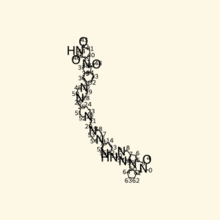 CN(C)C(=O)c1cc2cnc(Nc3ccc(N4CCN(CCN5CCC(CN6CCN(c7ccc8c(c7)CN([C@H]7CCC(=O)NC7=O)C8=O)CC6)CC5)CC4)cn3)nc2n1C1CCCC1